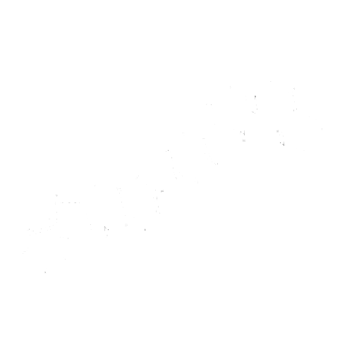 c1cnc2c(c1)ccc1ccc(-c3ccc(-c4ccc5nc6c(cc5c4)oc4ccccc46)cc3)nc12